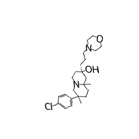 CC1(c2ccc(Cl)cc2)CCC2(C)CC(O)(CCCN3CCOCC3)CCN2C1